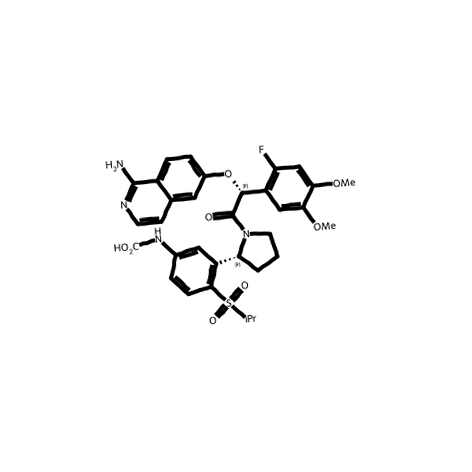 COc1cc(F)c([C@@H](Oc2ccc3c(N)nccc3c2)C(=O)N2CCC[C@@H]2c2cc(NC(=O)O)ccc2S(=O)(=O)C(C)C)cc1OC